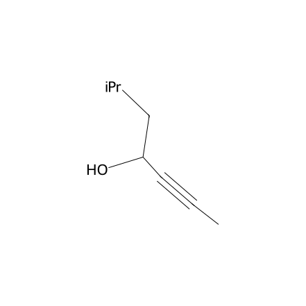 CC#CC(O)CC(C)C